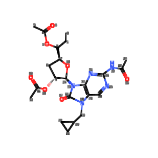 CCC(OC(C)=O)[C@@H]1C[C@@H](OC(C)=O)[C@H](n2c(=O)n(CC3CC3)c3cnc(NC(C)=O)nc32)O1